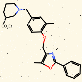 CCOC(=O)C1CCCN(Cc2ccc(OCc3nc(-c4ccccc4)oc3C)c(C)c2)C1